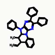 C=CC1c2ccccc2N2c3nc(-c4ccccc4)c(-c4ccccc4)nc3N(c3ccccc3)C2C1C